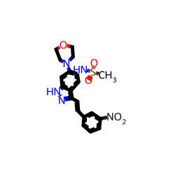 CS(=O)(=O)Nc1cc2c(C=Cc3cccc([N+](=O)[O-])c3)n[nH]c2cc1N1CCOCC1